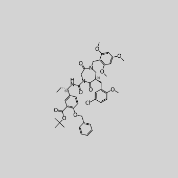 CC[C@H](NC(=O)N1CC(=O)N(Cc2c(OC)cc(OC)cc2OC)C[C@@H](Cc2cc(Cl)ccc2OC)C1=O)c1ccc(OCc2ccccc2)c(C(=O)OC(C)(C)C)c1